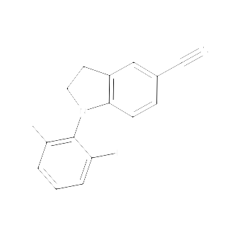 N#Cc1ccc2c(c1)CCN2c1c(F)cccc1F